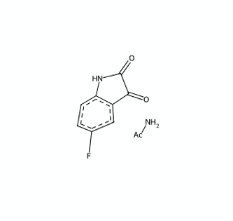 CC(N)=O.O=C1Nc2ccc(F)cc2C1=O